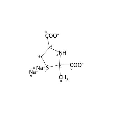 CC1(C(=O)[O-])NC(C(=O)[O-])CS1.[Na+].[Na+]